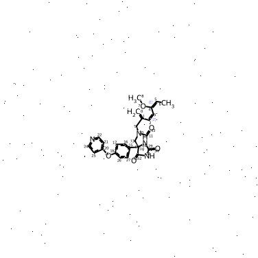 C=C(/C=C\C(=C/C)OC)CN(C=O)C[C@@]1(c2ccc(Oc3ccncc3)cc2)NC(=O)NC1=O